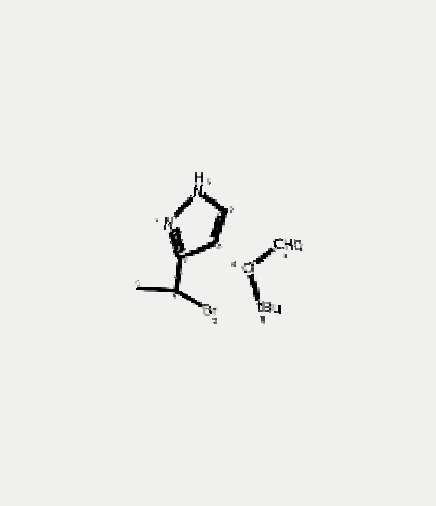 CC(Br)c1cc[nH]n1.CC(C)(C)OC=O